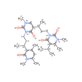 Cc1cc(C)n(C)c(=O)c1C(C)CCn1c(=O)c(C(C)CCn2c(=O)c(C(C)C)c(C)n(C)c2=O)cn(C)c1=O